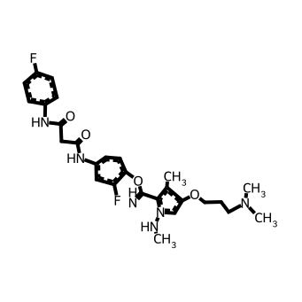 CNn1cc(OCCCN(C)C)c(C)c1C(=N)Oc1ccc(NC(=O)CC(=O)Nc2ccc(F)cc2)cc1F